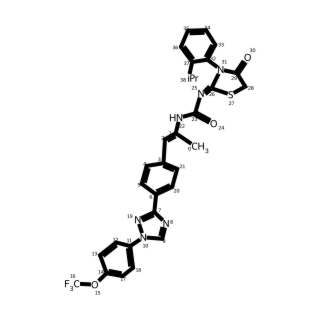 C/C(=C\c1ccc(-c2ncn(-c3ccc(OC(F)(F)F)cc3)n2)cc1)NC(=O)/N=C1\SCC(=O)N1c1ccccc1C(C)C